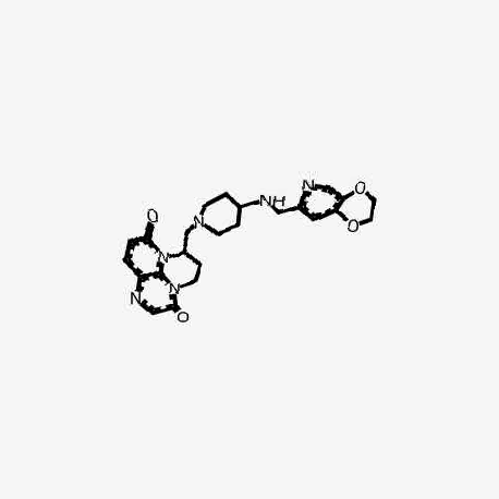 O=c1cnc2ccc(=O)n3c2n1CCC3CN1CCC(NCc2cc3c(cn2)OCCO3)CC1